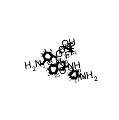 NCc1cccc(C(=O)N(CC(=O)Nc2cccc(N)c2)c2ccccc2)c1.O=C(O)C(F)(F)F